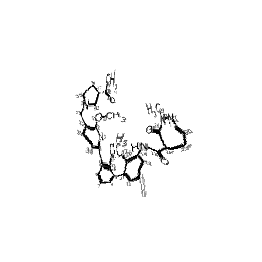 COc1nc(-c2cccc(-c3cccc(NC(=O)c4ccnn(C)c4=O)c3C)c2Cl)ccc1CN1CC[C@H](C(C)=O)C1